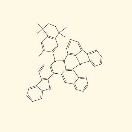 Cc1cc2c(cc1N1B3c4c(cc5ccccc5c4-n4c5ccccc5c5cccc3c54)-c3c1ccc1c3sc3ccccc31)C(C)(C)CCC2(C)C